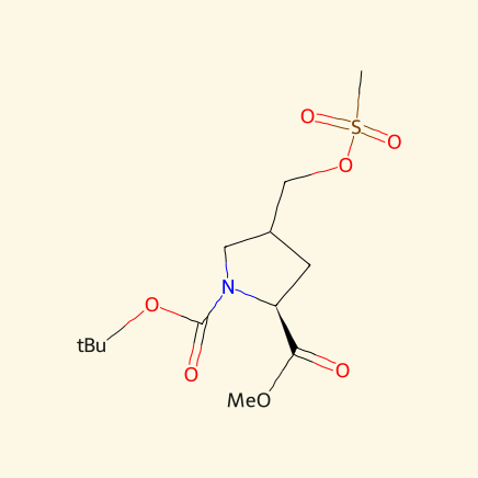 COC(=O)[C@@H]1CC(COS(C)(=O)=O)CN1C(=O)OC(C)(C)C